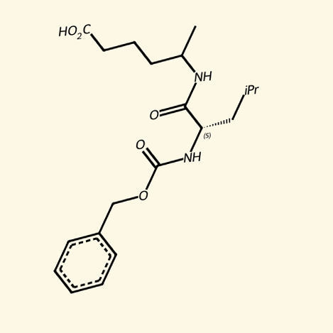 CC(C)C[C@H](NC(=O)OCc1ccccc1)C(=O)NC(C)CCCC(=O)O